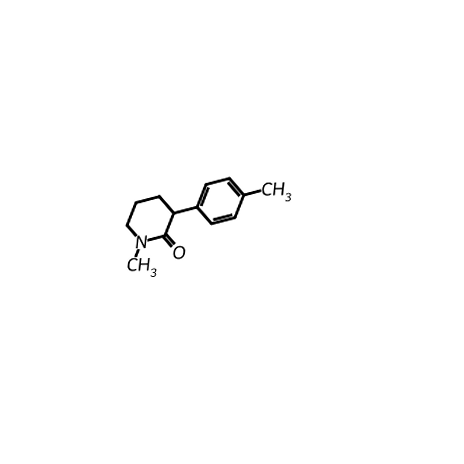 Cc1ccc(C2CCCN(C)C2=O)cc1